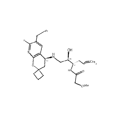 C=CC[C@H](NC(=O)COC)[C@H](O)CN[C@H]1CC2(CCC2)Oc2nc(F)c(CC(C)C)cc21